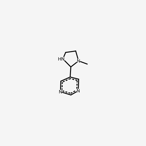 CN1CCNC1c1cncnc1